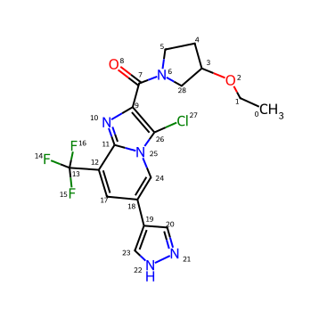 CCOC1CCN(C(=O)c2nc3c(C(F)(F)F)cc(-c4cn[nH]c4)cn3c2Cl)C1